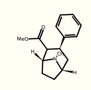 COC(=O)C1[C@@H](c2ccccc2)C[C@@H]2CC[C@H]1N2C